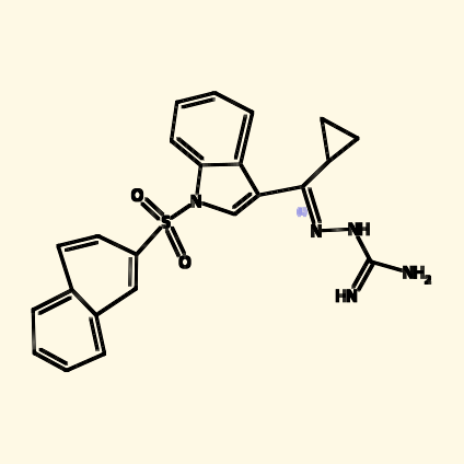 N=C(N)N/N=C(/c1cn(S(=O)(=O)c2ccc3ccccc3c2)c2ccccc12)C1CC1